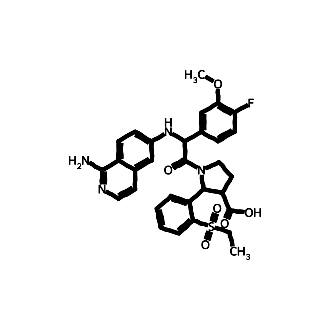 CCS(=O)(=O)c1ccccc1C1C(C(=O)O)CCN1C(=O)C(Nc1ccc2c(N)nccc2c1)c1ccc(F)c(OC)c1